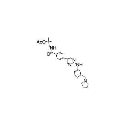 CC(=O)OC(C)(C)CNC(=O)c1ccc(-c2cnc(Nc3cccc(CN4CCCC4)c3)nc2)cc1